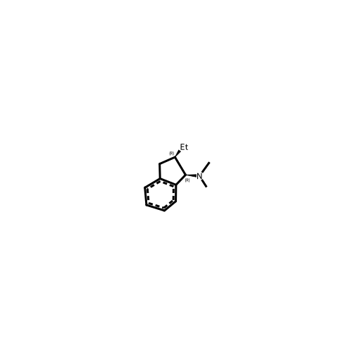 CC[C@@H]1Cc2ccccc2[C@@H]1N(C)C